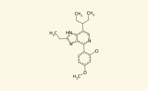 CCc1nc2c(-c3ccc(OC)cc3Cl)ncc(C(CC)CC)c2[nH]1